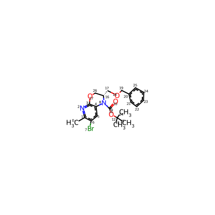 Cc1nc2c(cc1Br)N(C(=O)OC(C)(C)C)[C@@H](COCc1ccccc1)CO2